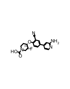 N#Cc1cc(-c2ccnc(N)c2)ccc1O[C@H]1CCN(C(=O)O)C[C@H]1F